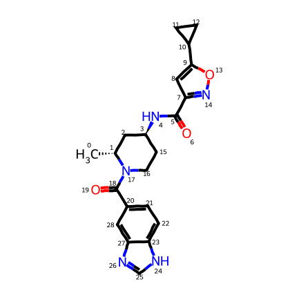 C[C@@H]1C[C@@H](NC(=O)c2cc(C3CC3)on2)CCN1C(=O)c1ccc2[nH]cnc2c1